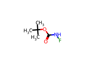 CC(C)(C)OC(=O)NF